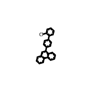 Clc1ccccc1-c1ccc(-c2cc3ccccc3c3ccccc23)cc1